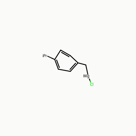 CC(C)c1ccc([CH2][Mg][Cl])cc1